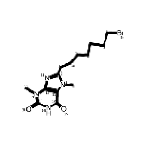 Cn1c(CCCCCCCBr)nc2c1c(=O)[nH]c(=O)n2C